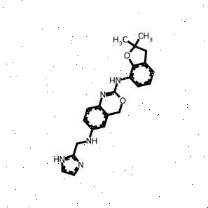 CC1(C)Cc2cccc(NC3=Nc4ccc(NCc5ncc[nH]5)cc4CO3)c2O1